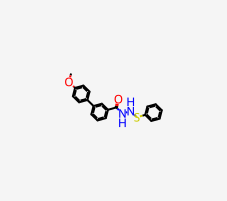 COc1ccc(-c2cccc(C(=O)NNSc3ccccc3)c2)cc1